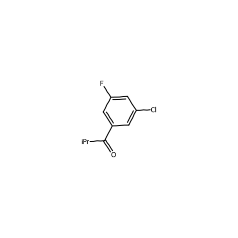 CC(C)C(=O)c1cc(F)cc(Cl)c1